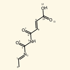 CC=NC(=O)NC(=O)C=CC(=O)O